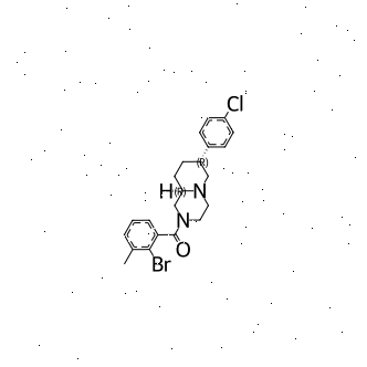 Cc1cccc(C(=O)N2CCN3C[C@@H](c4ccc(Cl)cc4)CC[C@@H]3C2)c1Br